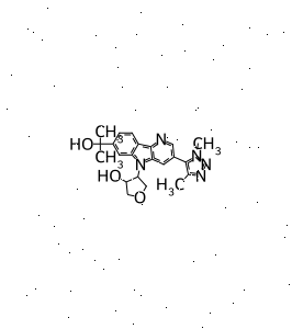 Cc1nnn(C)c1-c1cnc2c3ccc(C(C)(C)O)cc3n(C3COCC3O)c2c1